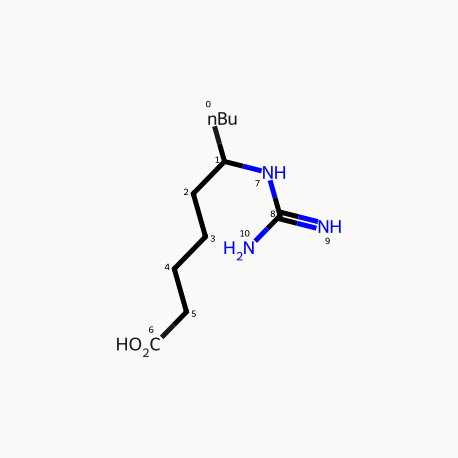 CCCCC(CCCCC(=O)O)NC(=N)N